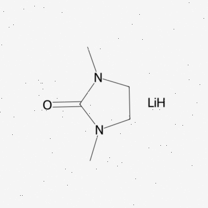 CN1CCN(C)C1=O.[LiH]